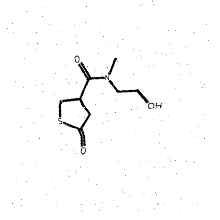 CN(CCO)C(=O)C1CSC(=O)C1